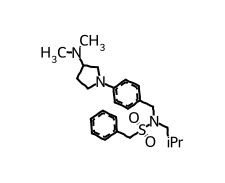 CC(C)CN(Cc1ccc(N2CCC(N(C)C)C2)cc1)S(=O)(=O)Cc1ccccc1